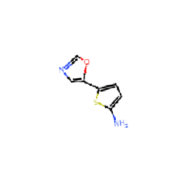 Nc1ccc(-c2cnco2)s1